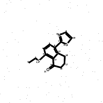 CCSc1ccc(-c2nccs2)c2c1C(=O)CCC2